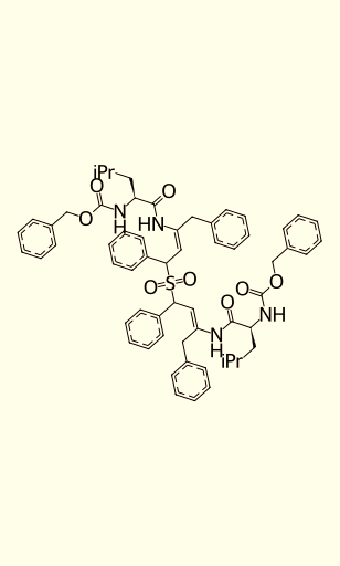 CC(C)C[C@H](NC(=O)OCc1ccccc1)C(=O)NC(=CC(c1ccccc1)S(=O)(=O)C(C=C(Cc1ccccc1)NC(=O)[C@H](CC(C)C)NC(=O)OCc1ccccc1)c1ccccc1)Cc1ccccc1